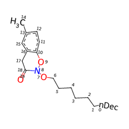 CCCCCCCCCCCCCCCCON1Oc2ccc(C)cc2CC1=O